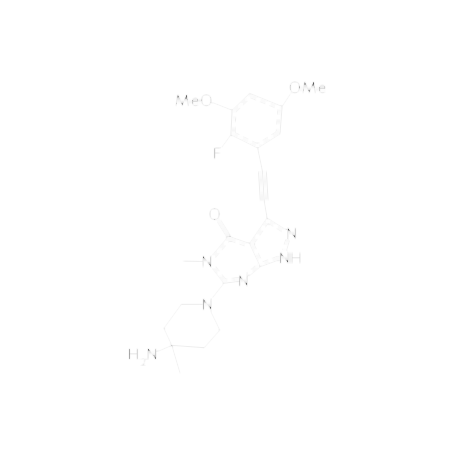 COc1cc(C#Cc2n[nH]c3nc(N4CCC(C)(N)CC4)n(C)c(=O)c23)c(F)c(OC)c1